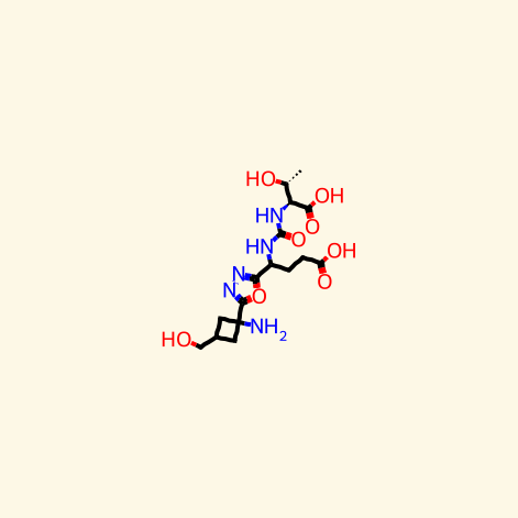 C[C@@H](O)[C@H](NC(=O)NC(CCC(=O)O)c1nnc(C2(N)CC(CO)C2)o1)C(=O)O